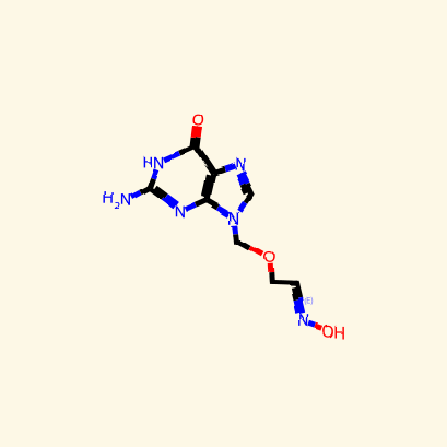 Nc1nc2c(ncn2COC/C=N/O)c(=O)[nH]1